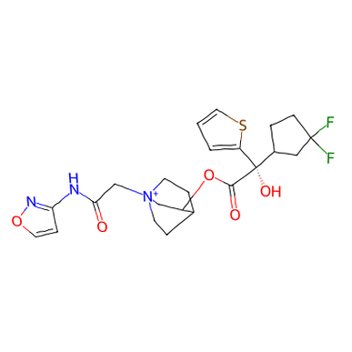 O=C(C[N+]12CCC(CC1)C(OC(=O)[C@@](O)(c1cccs1)C1CCC(F)(F)C1)C2)Nc1ccon1